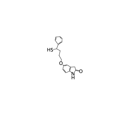 O=C1Cc2cc(OCCCC(S)c3ccccc3)ccc2N1